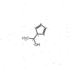 [CH2]C(O)C1C=CC=C1